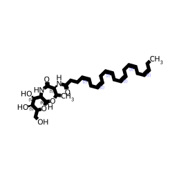 CC/C=C\C/C=C\C/C=C\C/C=C\C/C=C\C/C=C\CCC(=O)N[C@@H]1C(=O)NC2[C@H](OC1C)OC(CO)[C@@H](O)[C@H]2O